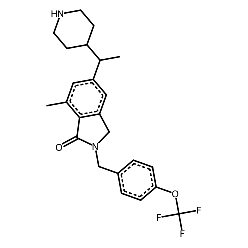 Cc1cc(C(C)C2CCNCC2)cc2c1C(=O)N(Cc1ccc(OC(F)(F)F)cc1)C2